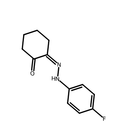 O=C1CCCCC1=NNc1ccc(F)cc1